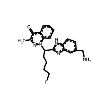 Cc1nn(C(CCCCF)c2nc3cc(CN)ccc3[nH]2)c2ccccc2c1=O